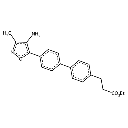 CCOC(=O)CCc1ccc(-c2ccc(-c3onc(C)c3N)cc2)cc1